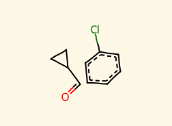 Clc1ccccc1.O=CC1CC1